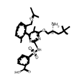 Cc1cccc(COC(C)C)c1-c1nc(NS(=O)(=O)c2cccc(C(=O)O)c2)nc(OC[C@H](N)CC(C)(C)C)c1C